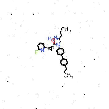 CCCc1ccc(-c2ccc(N(C[C@@H](N)CCC)C(=O)[C@H]3C[C@@H]3c3cccc(F)n3)cc2)cc1